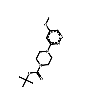 COc1cnnc(N2CCN(C(=O)OC(C)(C)C)CC2)c1